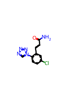 NC(=O)C=Cc1cc(Cl)ccc1-n1cnnn1